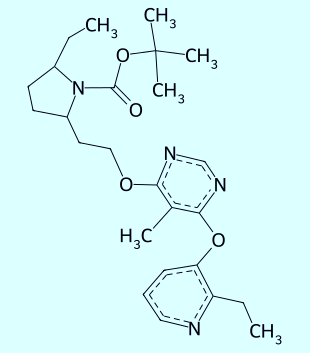 CCc1ncccc1Oc1ncnc(OCCC2CCC(CC)N2C(=O)OC(C)(C)C)c1C